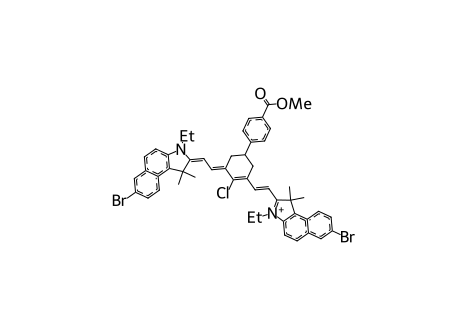 CCN1/C(=C/C=C2\CC(c3ccc(C(=O)OC)cc3)CC(/C=C/C3=[N+](CC)c4ccc5cc(Br)ccc5c4C3(C)C)=C2Cl)C(C)(C)c2c1ccc1cc(Br)ccc21